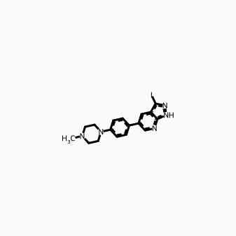 CN1CCN(c2ccc(-c3cnc4[nH]nc(I)c4c3)cc2)CC1